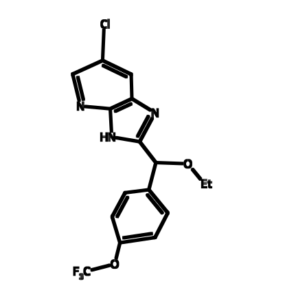 CCOC(c1ccc(OC(F)(F)F)cc1)c1nc2cc(Cl)cnc2[nH]1